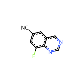 N#Cc1cc(F)c2ncncc2c1